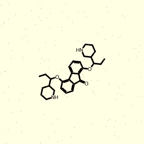 CCC(Oc1cccc2c1C(=O)c1cccc(OC(CC)C3CCCNC3)c1-2)C1CCCNC1